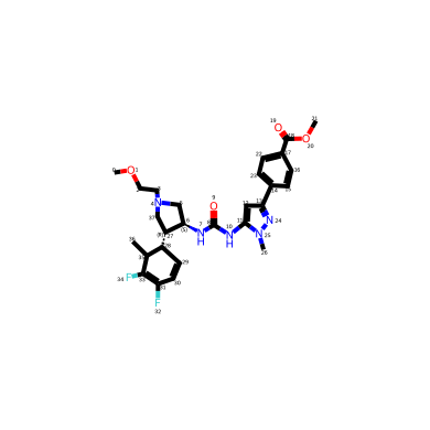 COCCN1C[C@@H](NC(=O)Nc2cc(-c3ccc(C(=O)OC)cc3)nn2C)[C@H](C2C=CC(F)=C(F)C2C)C1